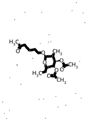 CCC1O[C@@H](OCCCCC(C)=O)C(C)[C@@H](OC(C)=O)[C@@H]1OC(C)=O